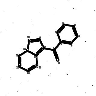 O=C(c1ccccc1)c1cnn2cccnc12